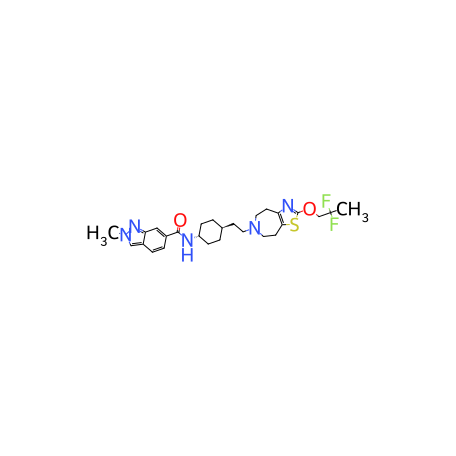 Cn1cc2ccc(C(=O)N[C@H]3CC[C@H](CCN4CCc5nc(OCC(C)(F)F)sc5CC4)CC3)cc2n1